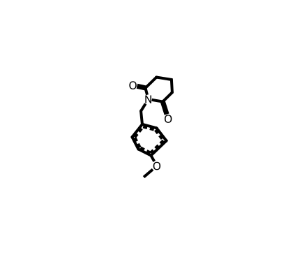 COc1ccc(CN2C(=O)CCCC2=O)cc1